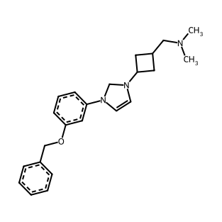 CN(C)CC1CC(N2C=CN(c3cccc(OCc4ccccc4)c3)C2)C1